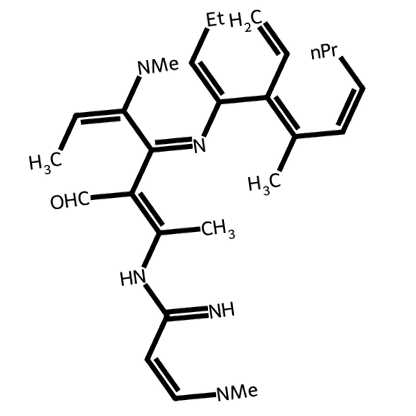 C=CC(=C(C)/C=C\CCC)C(=C\CC)/N=C(C(/C=O)=C(\C)NC(=N)/C=C\NC)\C(=C/C)NC